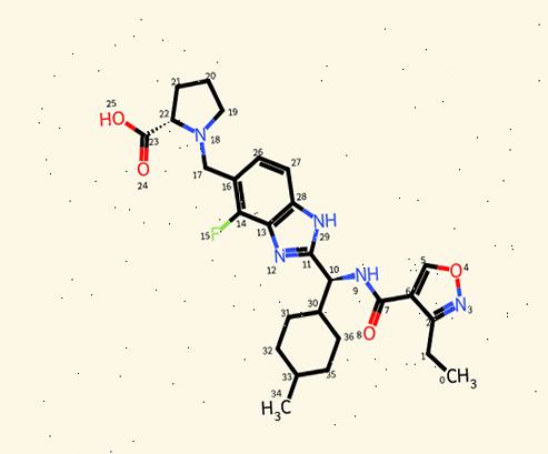 CCc1nocc1C(=O)N[C@H](c1nc2c(F)c(CN3CCC[C@H]3C(=O)O)ccc2[nH]1)C1CCC(C)CC1